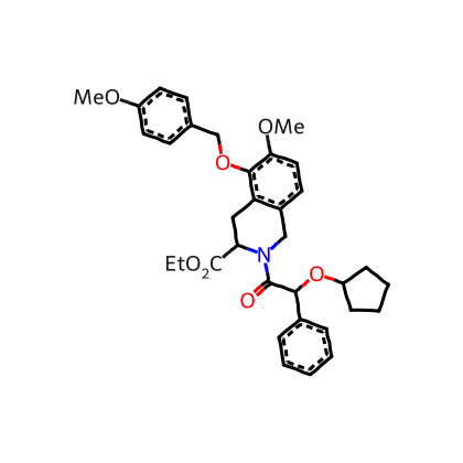 CCOC(=O)C1Cc2c(ccc(OC)c2OCc2ccc(OC)cc2)CN1C(=O)C(OC1CCCC1)c1ccccc1